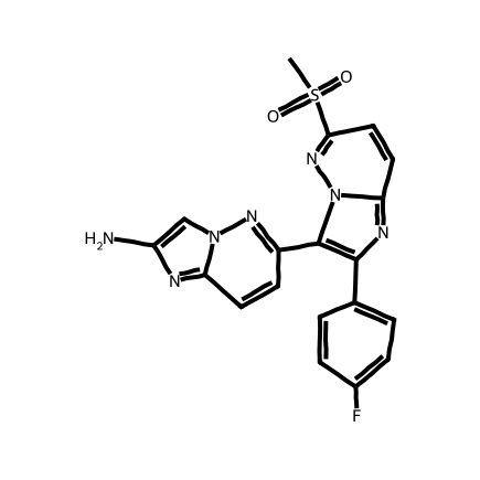 CS(=O)(=O)c1ccc2nc(-c3ccc(F)cc3)c(-c3ccc4nc(N)cn4n3)n2n1